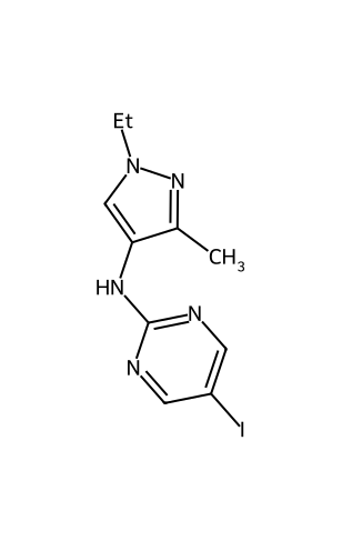 CCn1cc(Nc2ncc(I)cn2)c(C)n1